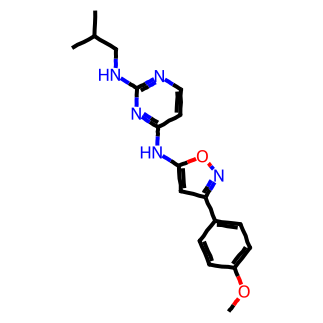 COc1ccc(-c2cc(Nc3ccnc(NCC(C)C)n3)on2)cc1